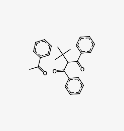 CC(=O)c1ccccc1.CC(C)(C)C(C(=O)c1ccccc1)C(=O)c1ccccc1